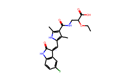 CCOC(CNC(=O)c1c(C)[nH]c(/C=C2\C(=O)Nc3ccc(F)cc32)c1C)C(=O)O